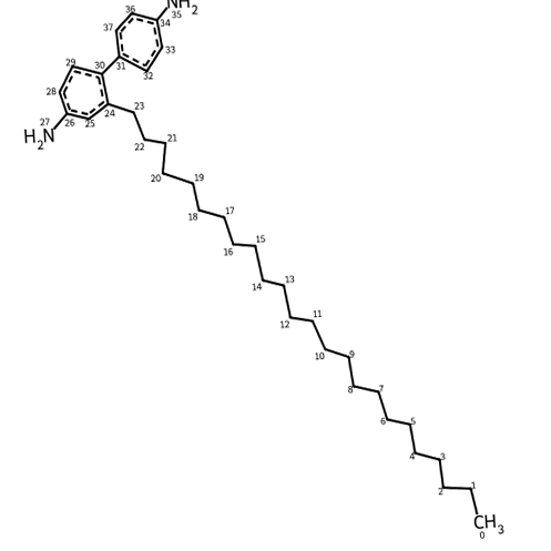 CCCCCCCCCCCCCCCCCCCCCCCCc1cc(N)ccc1-c1ccc(N)cc1